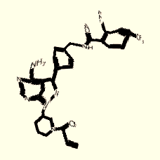 C=CC(=O)N1CCCC(n2nc(-c3ccc(CNC(=O)c4ccc(C(F)(F)F)cc4F)cc3)c3c(N)ncnc32)C1